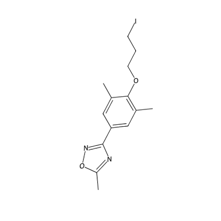 Cc1nc(-c2cc(C)c(OCCCI)c(C)c2)no1